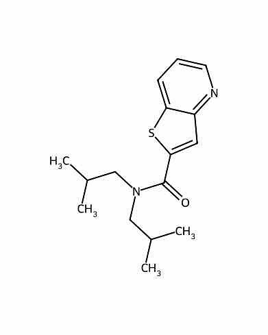 CC(C)CN(CC(C)C)C(=O)c1cc2ncccc2s1